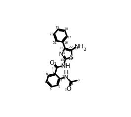 CC(=O)Nc1ccccc1C(=O)Nc1nc(-c2ccccc2)c(N)s1